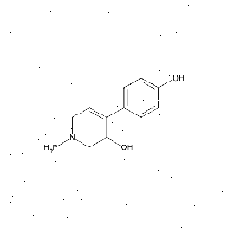 Oc1ccc(C2=CCN(P)CC2O)cc1